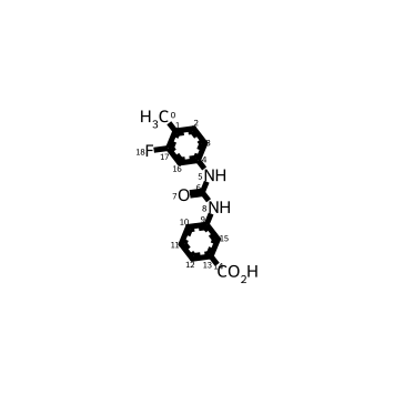 Cc1ccc(NC(=O)Nc2cccc(C(=O)O)c2)cc1F